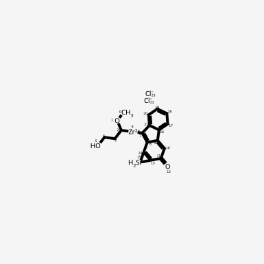 CO[CH](CCO)[Zr+2][C]1=C2C(=CC(=O)C3=C2[SiH2]3)c2ccccc21.[Cl-].[Cl-]